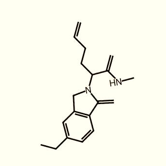 C=CCCC(C(=C)NC)N1Cc2cc(CC)ccc2C1=C